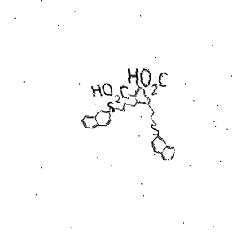 O=C(O)c1ccc(CCCSc2ccc3ccccc3c2)c(CCCSc2ccc3ccccc3c2)c1C(=O)O